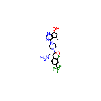 C[C@@H]1C[C@@H](O)c2ncnc(N3CCN(C(=O)[C@H](CN)c4ccc(C(F)(F)F)cc4F)CC3)c21